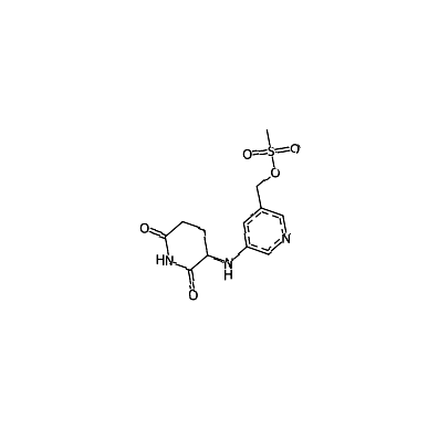 CS(=O)(=O)OCc1cncc(NC2CCC(=O)NC2=O)c1